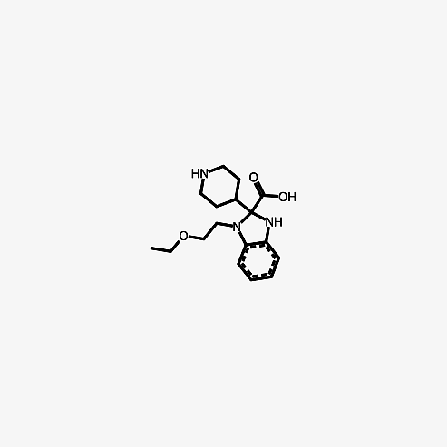 CCOCCN1c2ccccc2NC1(C(=O)O)C1CCNCC1